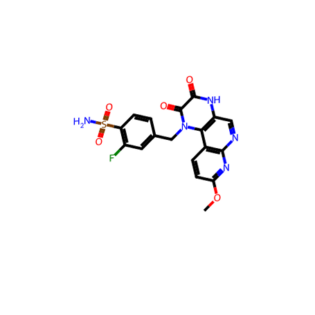 COc1ccc2c(ncc3[nH]c(=O)c(=O)n(Cc4ccc(S(N)(=O)=O)c(F)c4)c32)n1